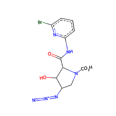 [N-]=[N+]=NC1CN(C(=O)O)C(C(=O)Nc2cccc(Br)n2)C1O